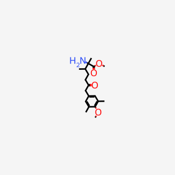 COC(=O)C(C)(N)C(C)CCC(=O)Cc1cc(C)c(OC)c(C)c1